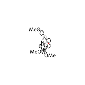 COc1ccc(CN2CCN3C(=O)[C@@H](Oc4nc(OC)cc(OC)n4)[C@]3(c3ccccc3)c3ccccc32)cc1